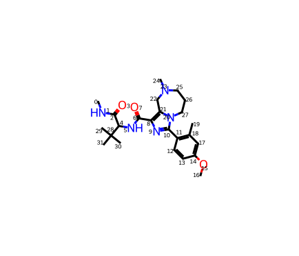 CNC(=O)C(NC(=O)c1nc(-c2ccc(OC)cc2C)n2c1CN(C)CCC2)C(C)(C)C